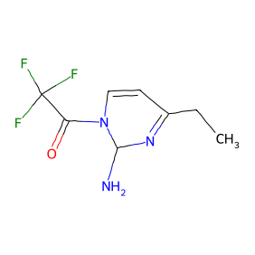 CCC1=NC(N)N(C(=O)C(F)(F)F)C=C1